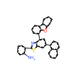 Nc1ccccc1-c1nc2c(-c3cccc4c3oc3ccccc34)cc(-c3cccc4ccccc34)cc2s1